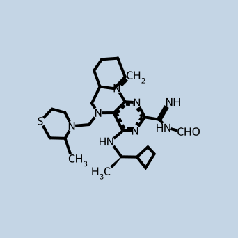 C=Nc1nc(C(=N)NC=O)nc(N[C@H](C)C2CCC2)c1N(CC1CCCCC1)CN1CCSCC1C